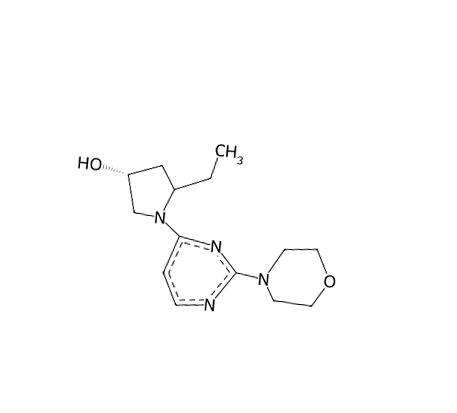 CCC1C[C@@H](O)CN1c1ccnc(N2CCOCC2)n1